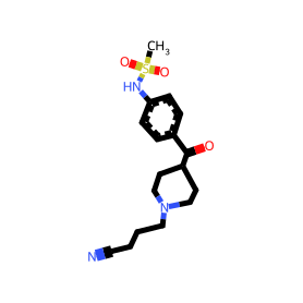 CS(=O)(=O)Nc1ccc(C(=O)C2CCN(CCCC#N)CC2)cc1